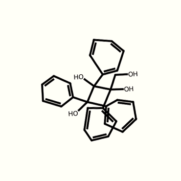 OCC(O)(c1ccccc1)C(O)(c1ccccc1)C(O)(c1ccccc1)c1ccccc1